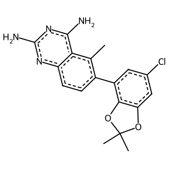 Cc1c(-c2cc(Cl)cc3c2OC(C)(C)O3)ccc2nc(N)nc(N)c12